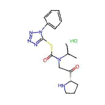 CC(C)N(CC(=O)[C@@H]1CCCN1)C(=O)Sc1nnnn1-c1ccccc1.Cl